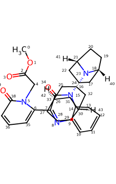 COC(=O)Cn1c(-c2nc3ccccc3n([C@H]3C[C@H]4CC[C@@H](C3)N4[C@H]3C[C@@H]4CCC[C@@H](C4)C3)c2=O)cccc1=O